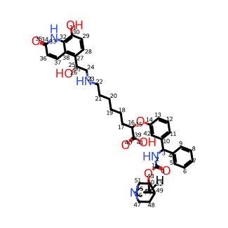 O=C(NC(c1ccccc1)c1cccc(OC(CCCCCCNC[C@H](O)c2ccc(O)c3[nH]c(=O)ccc23)C(=O)O)c1)O[C@H]1CN2CCC1CC2